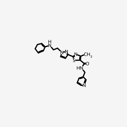 Cc1nc(-c2ccn(CCNC3=CCCC=C3)n2)sc1C(=O)NCc1cccnc1